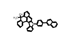 CC1(C)c2ccccc2-c2c3c1cccc3cc1c2c2ccccc2n1-c1ccc(-c2ccc3ccccc3c2)cc1